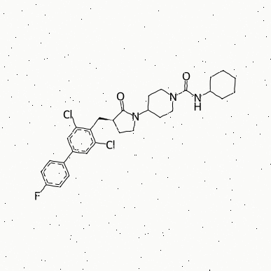 O=C(NC1CCCCC1)N1CCC(N2CC[C@@H](Cc3c(Cl)cc(-c4ccc(F)cc4)cc3Cl)C2=O)CC1